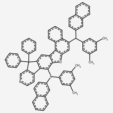 Cc1cc(C)cc(C(c2ccc3ccccc3c2)c2cc3oc4c(N(c5cc(C)cc(C)c5)c5ccc6ccccc6c5)c5c(cc4c3c3ccccc23)C(c2ccccc2)(c2ccccc2)c2cnccc2-5)c1